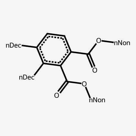 CCCCCCCCCCc1ccc(C(=O)OCCCCCCCCC)c(C(=O)OCCCCCCCCC)c1CCCCCCCCCC